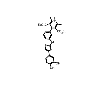 CCOC(=O)C1=C(C)NC(C)=C(C(=O)OCC)C1c1cccc(Nc2nc(-c3ccc(O)c(O)c3)cs2)c1